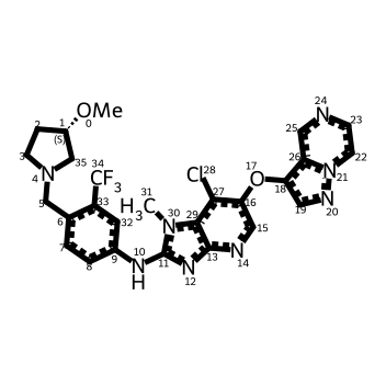 CO[C@H]1CCN(Cc2ccc(Nc3nc4ncc(Oc5cnn6ccncc56)c(Cl)c4n3C)cc2C(F)(F)F)C1